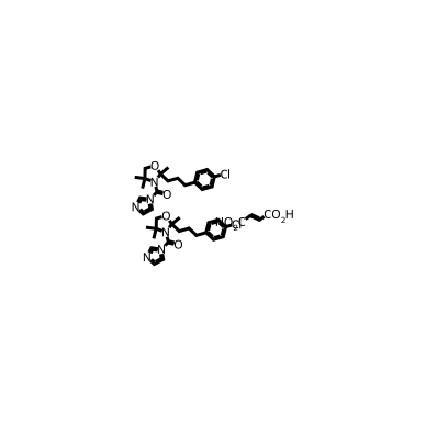 CC1(C)COC(C)(CCCc2ccc(Cl)cc2)N1C(=O)n1ccnc1.CC1(C)COC(C)(CCCc2ccc(Cl)cc2)N1C(=O)n1ccnc1.O=C(O)C=CC(=O)O